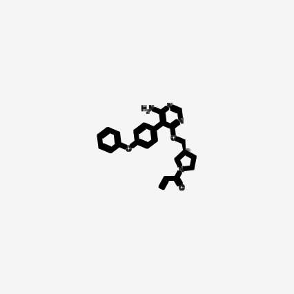 C=CC(=O)N1CC[C@H](COc2ncnc(N)c2-c2ccc(Oc3ccccc3)cc2)C1